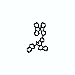 c1ccc2c(c1)-c1ccccc1C21c2ccccc2-c2ccc(-c3ccc4c(c3)nc(-c3ccc5ccccc5c3)c3ccc5ccccc5c34)cc21